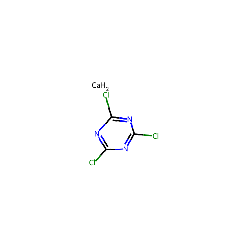 Clc1nc(Cl)nc(Cl)n1.[CaH2]